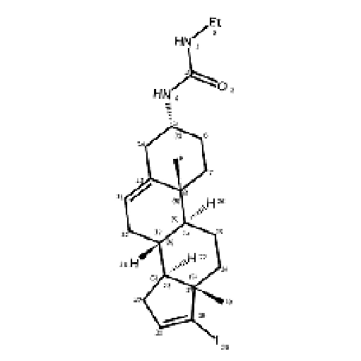 CCNC(=O)N[C@@H]1CC[C@@]2(C)C(=CC[C@@H]3[C@@H]2CC[C@]2(C)C(I)=CC[C@@H]32)C1